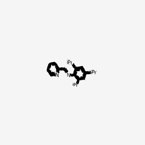 CC(C)c1cc(C(C)C)c(N=Cc2ccccn2)c(C(C)C)c1